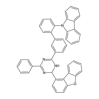 c1ccc(C2=NC(c3cccc4oc5ccccc5c34)NC(c3cccc(-c4ccccc4-n4c5ccccc5c5ccccc54)c3)=N2)cc1